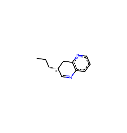 CCC[C@H]1C=Nc2cccnc2C1